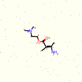 CC(N)=C(C)C(=O)OCCN(C)C